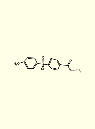 COC(=O)c1ccc(S(=N)(=O)c2ccc(C)cc2)cc1